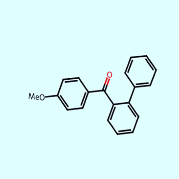 COc1ccc(C(=O)c2ccccc2-c2ccccc2)cc1